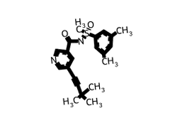 Cc1cc(C)cc(S(C)(=O)=NC(=O)c2cncc(C#CC(C)(C)C)c2)c1